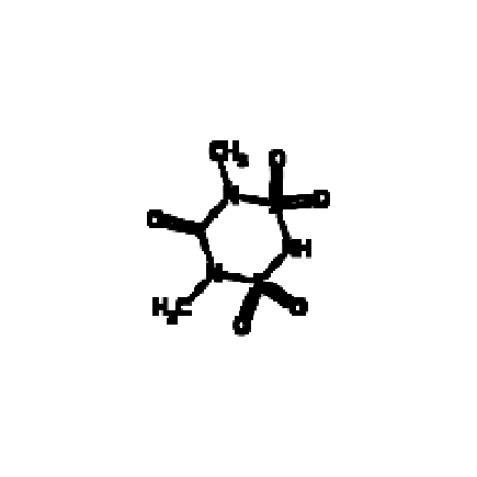 CN1C(=O)N(C)S(=O)(=O)NS1(=O)=O